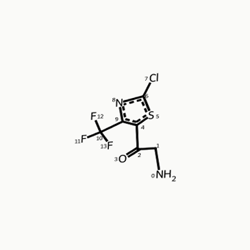 NCC(=O)c1sc(Cl)nc1C(F)(F)F